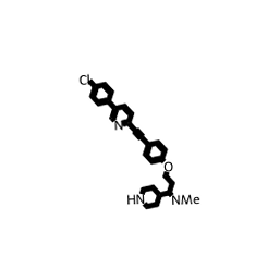 CNC(CCOc1ccc(C#Cc2ccc(-c3ccc(Cl)cc3)cn2)cc1)C1CCNCC1